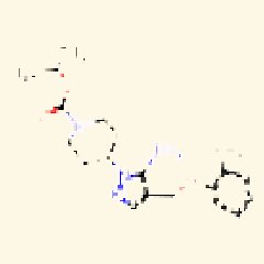 Cc1ccccc1OCc1cnn(C2CCN(C(=O)OC(C)C)CC2)c1N